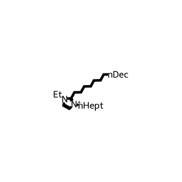 CCCCCCCCCCCCCCCCCc1n(CC)cc[n+]1CCCCCCC